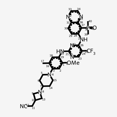 COc1cc(N2CCC(N3CC(CC#N)C3)CC2)c(C)cc1Nc1ncc(C(F)(F)F)c(Nc2ccc3nccnc3c2P(C)(C)=O)n1